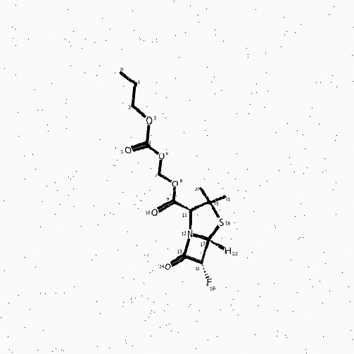 CCCOC(=O)OCOC(=O)[C@@H]1N2C(=O)[C@@H](F)[C@H]2SC1(C)C